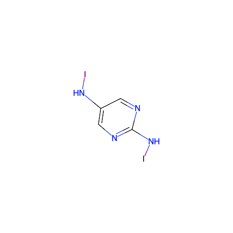 INc1cnc(NI)nc1